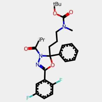 CC(C)C(=O)N1N=C(c2cc(F)ccc2F)OC1(CCCN(C)C(=O)OC(C)(C)C)c1ccccc1